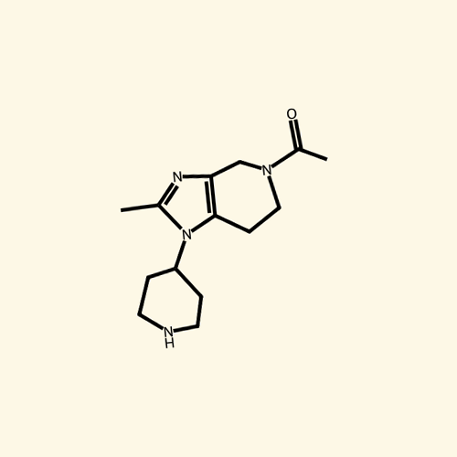 CC(=O)N1CCc2c(nc(C)n2C2CCNCC2)C1